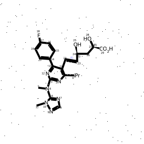 CC(C)c1nc(N(C)c2ncnn2C)nc(-c2ccc(F)cc2)c1/C=C/[C@@H](O)C[C@@H](O)C(=O)O